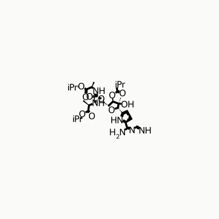 CC(C)OC(=O)[C@@H](C)NP(=O)(N[C@H](C)C(=O)OC(C)C)OC[C@H]1O[C@@H](c2ccc(/C(N)=N\C=N)[nH]2)[C@](C)(O)[C@@H]1OC(=O)C(C)C